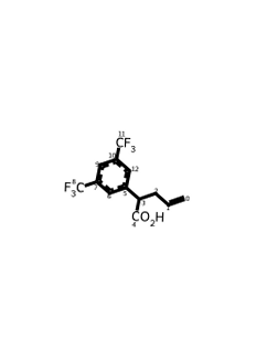 C=CCC(C(=O)O)c1cc(C(F)(F)F)cc(C(F)(F)F)c1